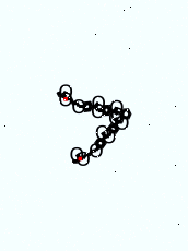 C=CC(=O)OCCCOc1ccc(C(=O)Oc2ccc(C(=O)O[C@@H]3CCCC[C@H]3OC(=O)c3ccc(OC(=O)c4ccc(OCCCOC(=O)C=C)cc4)cc3)cc2)cc1